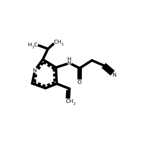 C=Cc1ccnc(C(C)C)c1NC(=O)CC#N